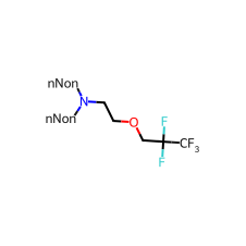 CCCCCCCCCN(CCCCCCCCC)CCOCC(F)(F)C(F)(F)F